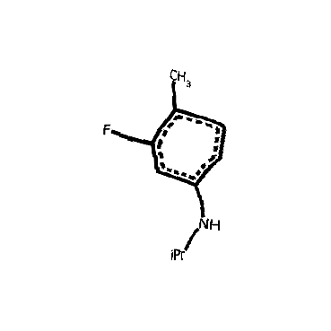 Cc1ccc(NC(C)C)cc1F